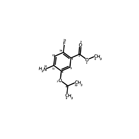 COC(=O)c1cc(OC(C)C)c(N)cc1F